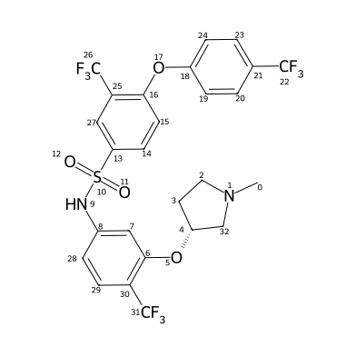 CN1CC[C@@H](Oc2cc(NS(=O)(=O)c3ccc(Oc4ccc(C(F)(F)F)cc4)c(C(F)(F)F)c3)ccc2C(F)(F)F)C1